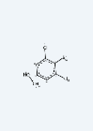 CO.Clc1cccc(Cl)c1Br